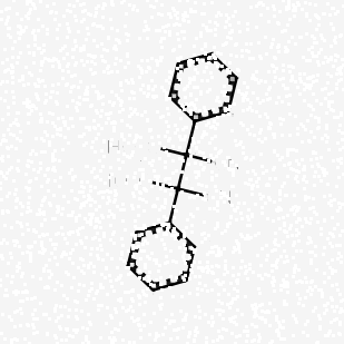 N#CC(C(=O)O)(c1ccccc1)C(C#N)(C(=O)O)c1ccccc1